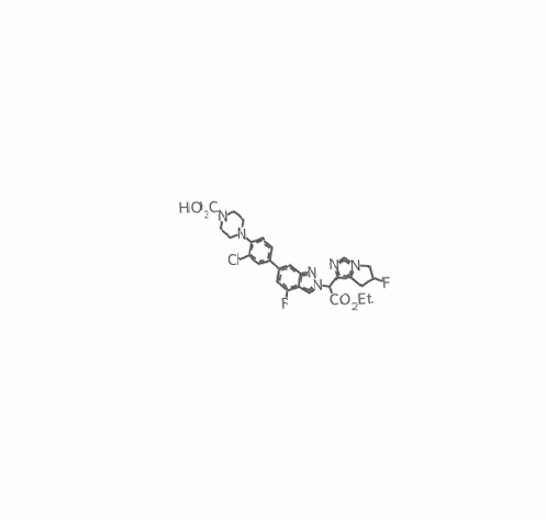 CCOC(=O)C(c1ncn2c1CC(F)C2)n1cc2c(F)cc(-c3ccc(N4CCN(C(=O)O)CC4)c(Cl)c3)cc2n1